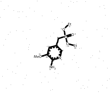 CCOP(=O)(Cc1cnc(N)c(OC)c1)OCC